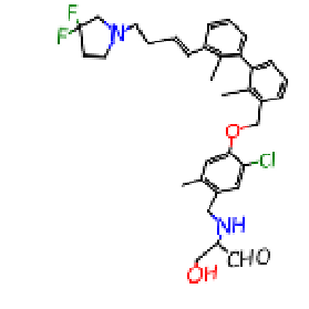 Cc1cc(OCc2cccc(-c3cccc(/C=C/CCN4CCC(F)(F)C4)c3C)c2C)c(Cl)cc1CNC(C=O)CO